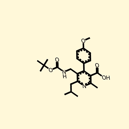 COc1ccc(-c2c(CNC(=O)OC(C)(C)C)c(CC(C)C)nc(C)c2C(=O)O)cc1